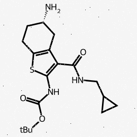 CC(C)(C)OC(=O)Nc1sc2c(c1C(=O)NCC1CC1)C[C@@H](N)CC2